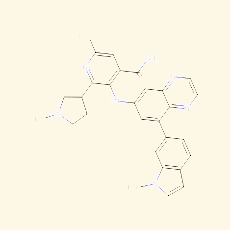 Cc1cc(C(N)=O)c(Nc2cc(-c3ccc4ccn(C)c4c3)c3nccnc3c2)c(C2CCN(C)C2)n1